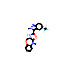 CN1C(=O)[C@@H](NC(=O)c2c3c(nn2C)CC[C@@H](C(F)(F)F)C3)COc2ccccc21